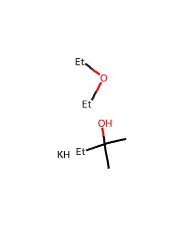 CCC(C)(C)O.CCOCC.[KH]